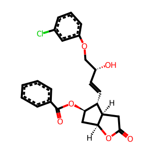 O=C1C[C@@H]2[C@@H](/C=C/[C@@H](O)COc3cccc(Cl)c3)[C@H](OC(=O)c3ccccc3)C[C@@H]2O1